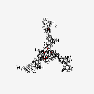 Cn1cnc2c(Cl)c(-c3n[nH]c4nc(N5CC[C@@H]6[C@H](C5)[C@]6(c5ccccc5F)C(N)C(N)(C(C(N)=O)c5ccc(-c6n[nH]c7nc(N8CC[C@@H]9[C@H](C8)[C@@]9(CN)c8ccccc8F)cnc67)c(Cl)c5)[C@]5(c6ccccc6F)[C@@H]6CCN(c7cnc8c(-c9cc(F)cc(F)c9)n[nH]c8n7)C[C@@H]65)cnc34)ccc21